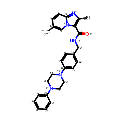 CCc1nc2ccc(C(F)(F)F)cn2c1C(=O)NCc1ccc(N2CCN(c3ccccc3)CC2)cc1